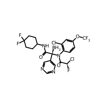 B[C@](C(=O)NC1CCC(F)(F)CC1)(c1cncnc1)N(C(=O)[C@H](F)Cl)c1ccc(OC(F)(F)F)cc1Cl